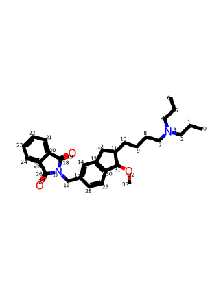 CCCN(CCC)CCCCC1Cc2cc(CN3C(=O)c4ccccc4C3=O)ccc2C1OC